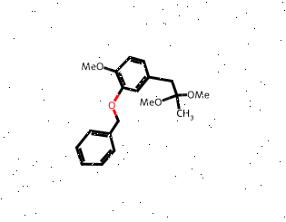 COc1ccc(CC(C)(OC)OC)cc1OCc1ccccc1